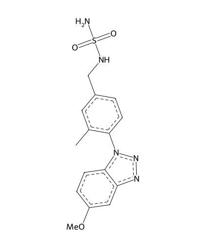 COc1ccc2c(c1)nnn2-c1ccc(CNS(N)(=O)=O)cc1C